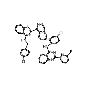 Clc1ccc(CNc2nc(-c3nccc4ccccc34)nc3ccccc23)cc1.Fc1cccc(-c2nc(Nc3ccc(Cl)cc3)c3ccccc3n2)n1